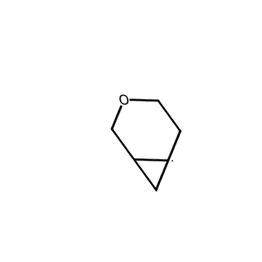 C1C[C]2CC2CO1